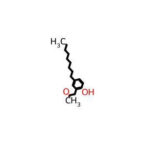 CCCCCCCCCc1ccc(O)c(CC(C)=O)c1